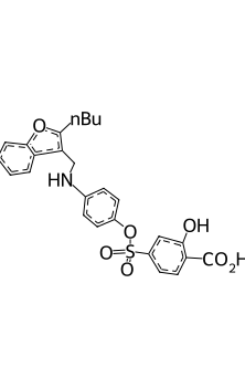 CCCCc1oc2ccccc2c1CNc1ccc(OS(=O)(=O)c2ccc(C(=O)O)c(O)c2)cc1